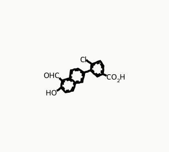 O=Cc1c(O)ccc2cc(-c3cc(C(=O)O)ccc3Cl)ccc12